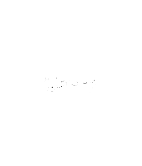 O=C(O)CC[C@H](NC(=O)c1ccc(C#CC2(O)c3ccccc3-c3ccccc32)cc1)C(=O)NCc1ccccc1